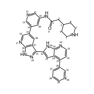 O=C(CC1CCNCC1)Nc1cncc(-c2cnc3[nH]nc(-c4cc5c(-c6cccnc6)ccnc5[nH]4)c3c2)c1